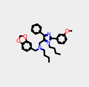 CCCCN(Cc1ccc2c(c1)OCO2)Cc1c(-c2ccccc2)nc(-c2cccc(OC)c2)n1CCCC